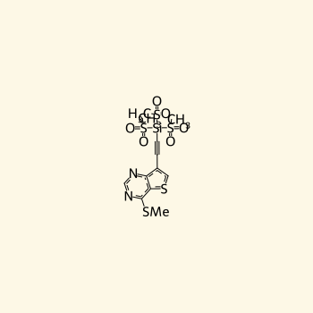 CSc1ncnc2c(C#C[Si](S(C)(=O)=O)(S(C)(=O)=O)S(C)(=O)=O)csc12